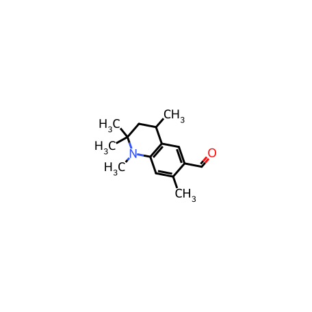 Cc1cc2c(cc1C=O)C(C)CC(C)(C)N2C